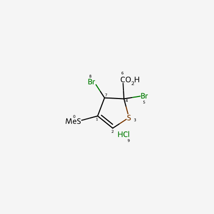 CSC1=CSC(Br)(C(=O)O)C1Br.Cl